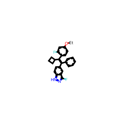 CCOc1ccc(/C(=C(\c2[c]cccc2)c2ccc3[nH]nc(F)c3c2)C2CCC2)c(F)c1